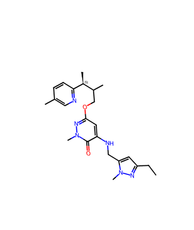 CCc1cc(CNc2cc(OCC(C)[C@H](C)c3ccc(C)cn3)nn(C)c2=O)n(C)n1